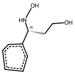 OCC[C@@H](NO)c1ccccc1